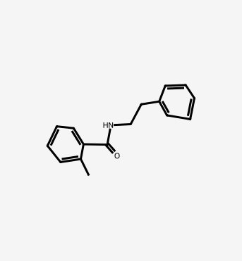 Cc1ccccc1C(=O)NCCc1ccccc1